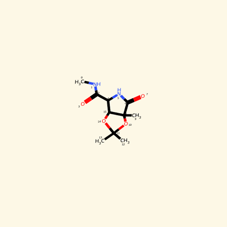 CNC(=O)C1NC(=O)C2(C)OC(C)(C)OC12